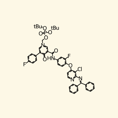 CC(C)(C)OP(=O)(OCn1cc(C(=O)Nc2ccc(Oc3ccnc(N=C(c4ccccc4)c4ccccc4)c3Cl)c(F)c2)c(=O)c(-c2ccc(F)cc2)c1)OC(C)(C)C